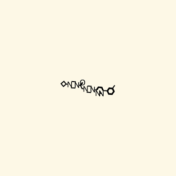 Cc1cccc(-c2ccc(N3CCN(CC(=O)N4CCN(C5CCC5)CC4)CC3)nn2)c1